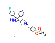 CS(=O)(=O)c1ccc(CCN2CC=C(c3c[nH]c(-c4ccc(F)cc4)c3-c3ccncc3)CC2)cc1